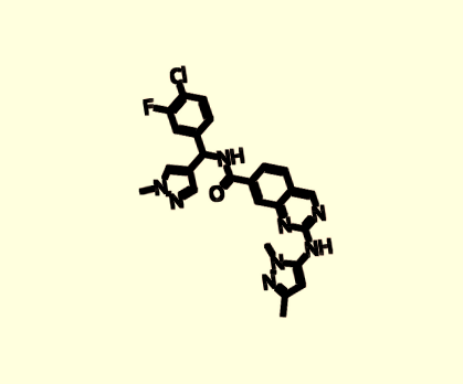 Cc1cc(Nc2ncc3ccc(C(=O)NC(c4ccc(Cl)c(F)c4)c4cnn(C)c4)cc3n2)n(C)n1